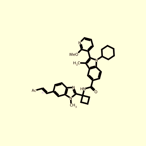 COc1ncccc1-c1c(C)c2cc(C(=O)NC3(c4nc5ccc(/C=C/C(C)=O)cc5n4C)CCC3)ccc2n1C1CCCCC1